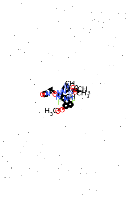 C#Cc1c(F)ccc2cc(OCOC)cc(-c3ncc4c(N5CCN(C)C[C@H](NC(=O)OC(C)(C)C)C5)nc(OCC5(CN6CCOCC6)CC5)nc4c3F)c12